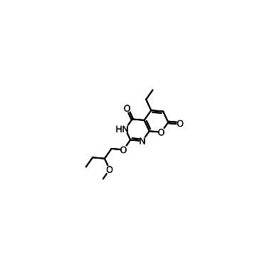 CCc1cc(=O)oc2nc(OCC(CC)OC)[nH]c(=O)c12